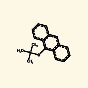 C[Si](C)(C)Oc1c2ccccc2cc2ccccc12